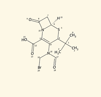 CC(C)(C)C1S[C@@H]2CC(=O)N2C(C(=O)O)=C1N(C=O)CBr